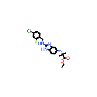 CCOC(=O)C(C)(C)Nc1ccc2[nH]c(NCc3ccc(Cl)cc3F)nc2c1